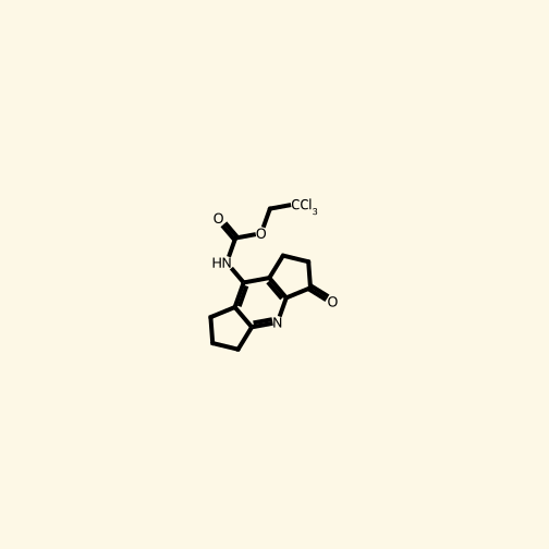 O=C(Nc1c2c(nc3c1CCC3=O)CCC2)OCC(Cl)(Cl)Cl